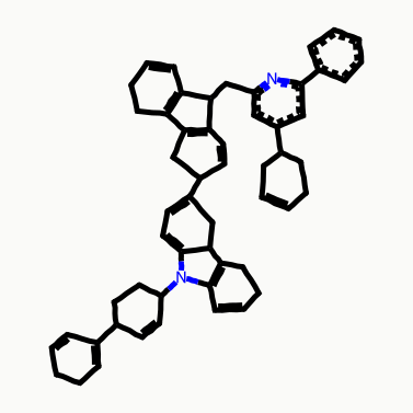 C1=CC(C2C=CC(N3C4=CC=C(C5C=CC6=C(C5)C5=C(C=CCC5)C6Cc5cc(C6CC=CCC6)cc(-c6ccccc6)n5)CC4C4=C3C=CCC4)CC2)=CCC1